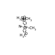 CCCn1c(-c2ccc(N(C)S(C)(=O)=O)cc2)c(C#N)c2ccc(OC)cc21